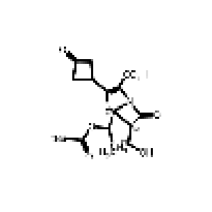 CC(OC(=O)C(C)(C)C)[C@@]12SC(C3CC(=O)C3)=C(C(=O)O)N1C(=O)[C@@H]2[C@@H](C)O